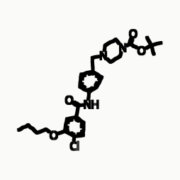 CCCCOc1cc(C(=O)Nc2ccc(CN3CCN(C(=O)OC(C)(C)C)CC3)cc2)ccc1Cl